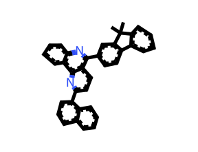 CC1(C)c2ccccc2-c2ccc(-c3nc4ccccc4c4nc(-c5cccc6ccccc56)ccc34)cc21